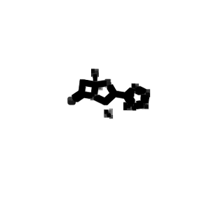 O=C1C[C@H]2SC(c3nnn[nH]3)CN12.[N]